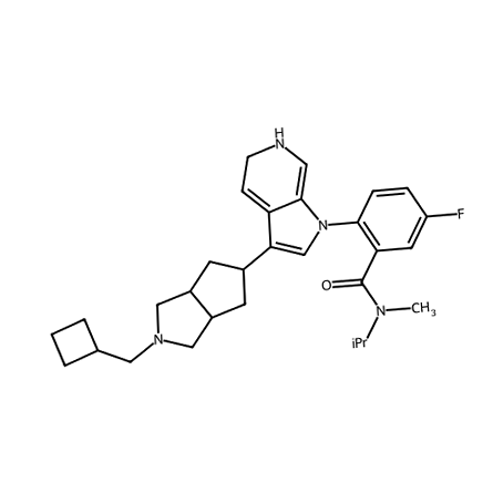 CC(C)N(C)C(=O)c1cc(F)ccc1-n1cc(C2CC3CN(CC4CCC4)CC3C2)c2c1=CNCC=2